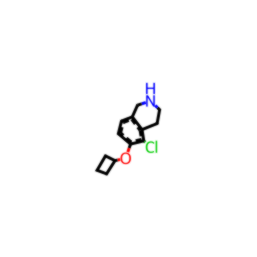 Clc1c(OC2CCC2)ccc2c1CCNC2